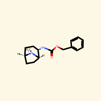 CN1[C@H]2CC[C@@H]1[C@H](NC(=O)OCc1ccccc1)CC2